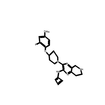 COc1ccc(OC2CCN(c3nc4c(nc3NC3=CC=C3)CCNC4)CC2)c(F)c1